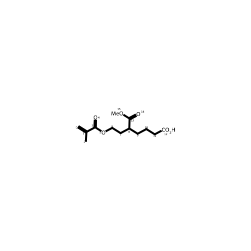 C=C(C)C(=O)OCCC(CCCC(=O)O)C(=O)OC